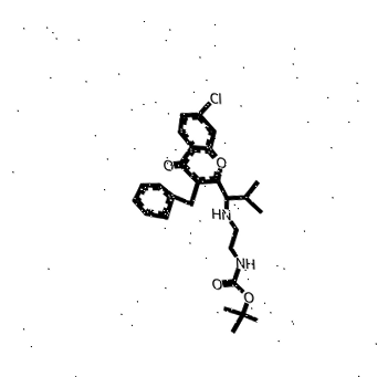 CC(C)C(NCCNC(=O)OC(C)(C)C)c1oc2cc(Cl)ccc2c(=O)c1Cc1ccccc1